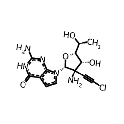 C[C@H](O)[C@H]1O[C@@H](n2ccc3c(=O)[nH]c(N)nc32)C(N)(C#CCl)[C@H]1O